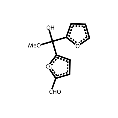 COC(O)(c1ccco1)c1ccc(C=O)o1